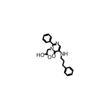 O=C(O)Cn1c(-c2ccccc2)ncc(NCCCc2ccccc2)c1=O